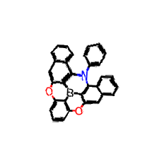 c1ccc(N2c3c4c(cc5ccccc35)Oc3cccc5c3B4c3c(cc4ccccc4c32)O5)cc1